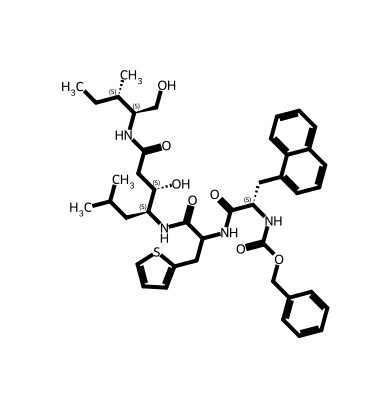 CC[C@H](C)[C@@H](CO)NC(=O)C[C@H](O)[C@H](CC(C)C)NC(=O)C(Cc1cccs1)NC(=O)[C@H](Cc1cccc2ccccc12)NC(=O)OCc1ccccc1